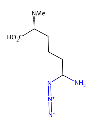 CN[C@H](CCCC(N)N=[N+]=[N-])C(=O)O